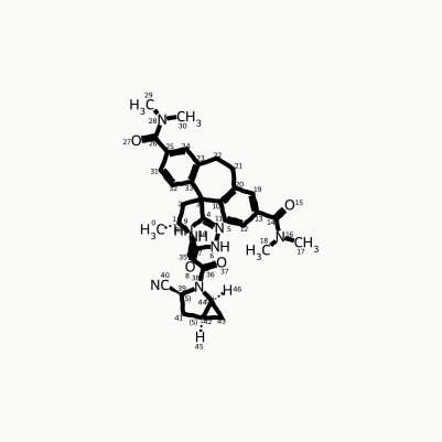 C[C@H](CC1(c2n[nH]c(=O)[nH]2)c2ccc(C(=O)N(C)C)cc2CCc2cc(C(=O)N(C)C)ccc21)NCC(=O)N1[C@H](C#N)C[C@@H]2C[C@@H]21